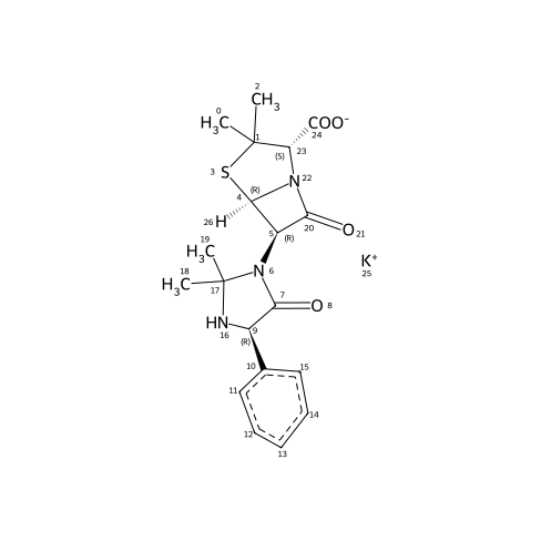 CC1(C)S[C@@H]2[C@H](N3C(=O)[C@@H](c4ccccc4)NC3(C)C)C(=O)N2[C@H]1C(=O)[O-].[K+]